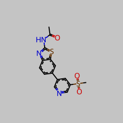 CC(=O)Nc1nc2ccc(-c3cncc(S(C)(=O)=O)c3)cc2s1